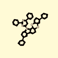 c1ccc(-c2ccc3c(c2)Oc2ccc4c5cc(-c6ccccc6)ccc5n(-c5cc(-c6ccccc6)nc(-c6ccccc6)n5)c4c2O3)cc1